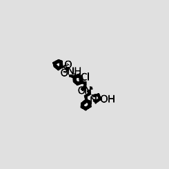 CN(CCc1ccccc1N1CC[C@H](O)C1)C(=O)Cc1ccc(CNS(=O)(=O)c2ccccc2)cc1.Cl